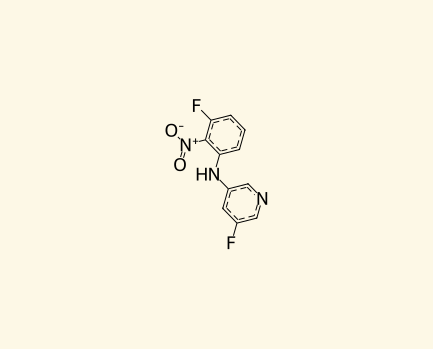 O=[N+]([O-])c1c(F)cccc1Nc1cncc(F)c1